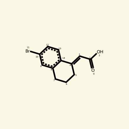 O=C(O)C=C1CCCc2cc(Br)ccc21